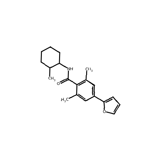 Cc1cc(-c2ccco2)cc(C)c1C(=O)NC1CCCCC1C